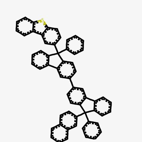 c1ccc(C2(c3ccc4ccccc4c3)c3ccccc3-c3cc(-c4ccc5c(c4)-c4ccccc4C5(c4ccccc4)c4ccc5sc6ccccc6c5c4)ccc32)cc1